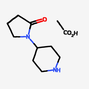 CC(=O)O.O=C1CCCN1C1CCNCC1